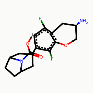 CC(C)(C)OC(=O)N1C2CCC1CC(c1cc(F)c3c(c1F)OC[C@H](N)C3)C2